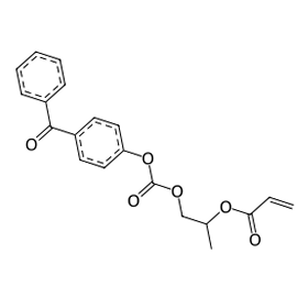 C=CC(=O)OC(C)COC(=O)Oc1ccc(C(=O)c2ccccc2)cc1